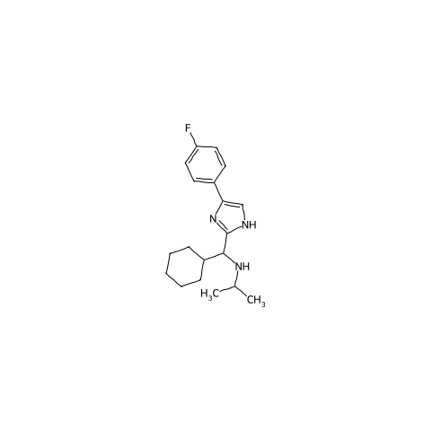 CC(C)NC(c1nc(-c2ccc(F)cc2)c[nH]1)C1CCCCC1